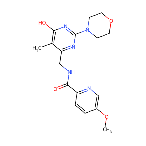 COc1ccc(C(=O)NCc2nc(N3CCOCC3)nc(O)c2C)nc1